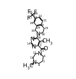 Cc1c(C(=O)N2CCCN(C)CC2)ncnc1N1CCc2ccc(C(F)(F)F)cc2C1